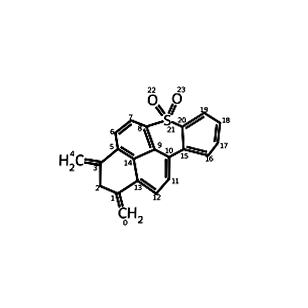 C=C1CC(=C)c2ccc3c4c(ccc1c24)-c1ccccc1S3(=O)=O